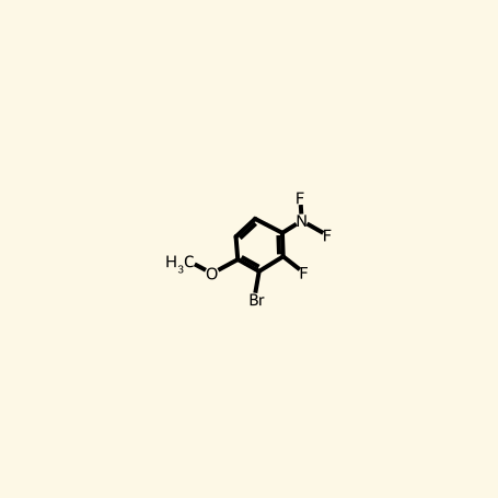 COc1ccc(N(F)F)c(F)c1Br